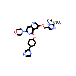 Cn1c(COc2cnc3cc(N4CCOCC4)nc(OC4CCC(c5cnccn5)CC4)c3c2)cnc1[N+](=O)[O-]